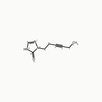 CCC#CCCn1nc[nH]c1=O